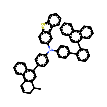 CC1CC=Cc2c1cc(-c1ccc(N(c3ccc(-c4ccccc4-c4cc5ccccc5c5ccccc45)cc3)c3ccc4sc5ccccc5c4c3)cc1)c1ccccc21